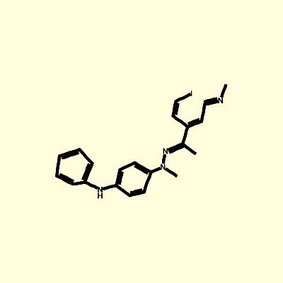 C/N=C/C=C(\C=C/I)C(/C)=N/N(C)c1ccc(Nc2ccccc2)cc1